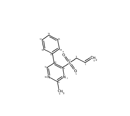 C=CCS(=O)(=O)c1nc(C)ncc1-c1ccccc1